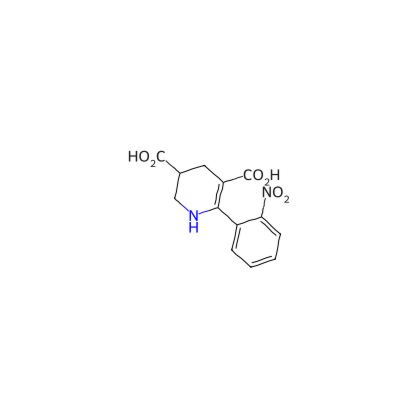 O=C(O)C1=C(c2ccccc2[N+](=O)[O-])NCC(C(=O)O)C1